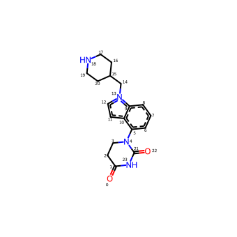 O=C1CCN(c2cccc3c2ccn3CC2CCNCC2)C(=O)N1